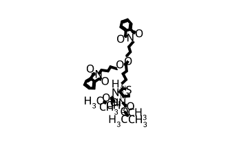 CC(C)(C)OC(=O)N[C@H]1[C@@H](NC(=O)OC(C)(C)C)CS[C@H]1CCCCC(OCCCCN1C(=O)c2ccccc2C1=O)OCCCCN1C(=O)c2ccccc2C1=O